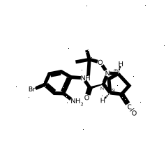 CC(C)(C)ON1[C@H]2CC(=C=O)[C@H](C2)[C@H]1C(=O)Nc1ccc(Br)cc1N